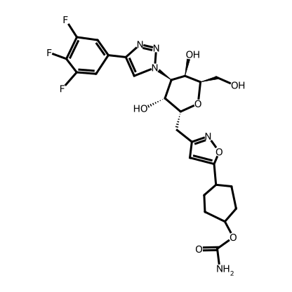 NC(=O)OC1CCC(c2cc(C[C@H]3O[C@H](CO)[C@H](O)[C@H](n4cc(-c5cc(F)c(F)c(F)c5)nn4)[C@H]3O)no2)CC1